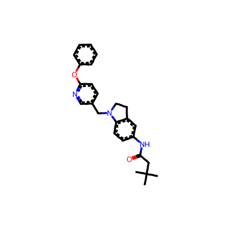 CC(C)(C)CC(=O)Nc1ccc2c(c1)CCN2Cc1ccc(Oc2ccccc2)nc1